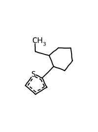 CCC1CCCCC1c1cccs1